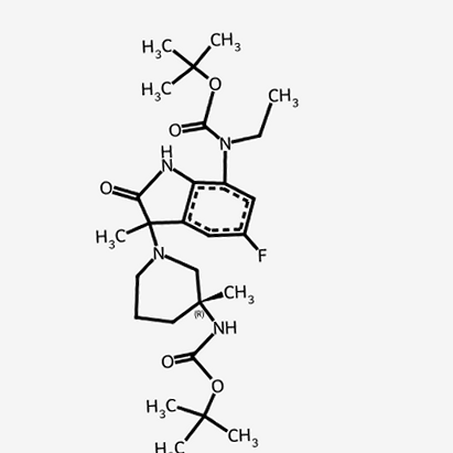 CCN(C(=O)OC(C)(C)C)c1cc(F)cc2c1NC(=O)C2(C)N1CCC[C@@](C)(NC(=O)OC(C)(C)C)C1